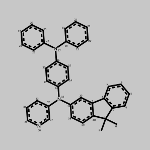 CC1(C)c2ccccc2-c2cc(N(c3ccc(N(c4ccccc4)c4ccccc4)cc3)c3cccnc3)ccc21